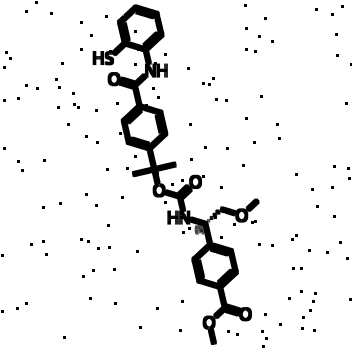 COC[C@@H](NC(=O)OC(C)(C)c1ccc(C(=O)Nc2ccccc2S)cc1)c1ccc(C(=O)OC)cc1